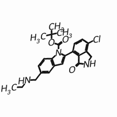 CCNCc1ccc2c(c1)cc(-c1ccc(Cl)c3c1C(=O)NC3)n2C(=O)OC(C)(C)C